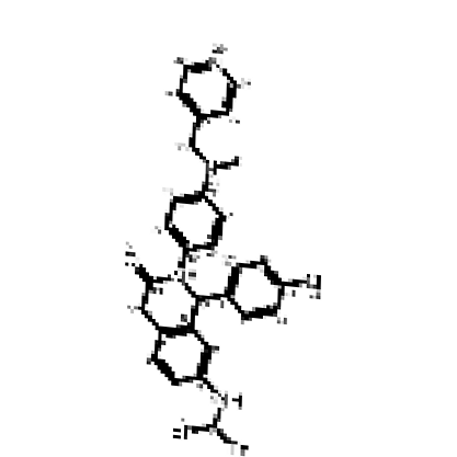 CCC(CC)Nc1ccc2c(c1)C(c1ccc(Cl)cc1)N(c1ccc(N(C)Cc3ccncc3)cc1)C(=O)C2